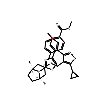 COC(=O)c1ccc(-c2csc(N3[C@@H]4CC[C@H]3C[C@@H](OCc3c(-c5ccccc5C)noc3C3CC3)C4)n2)cc1C